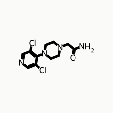 NC(=O)CN1CCN(c2c(Cl)cncc2Cl)CC1